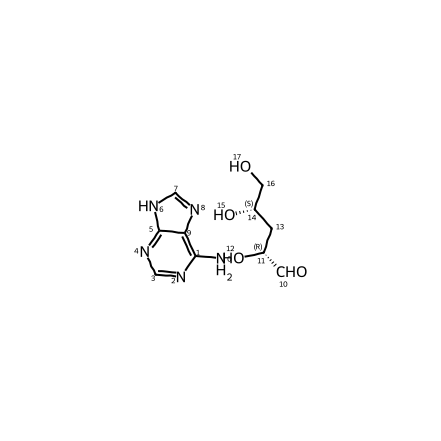 Nc1ncnc2[nH]cnc12.O=C[C@H](O)C[C@H](O)CO